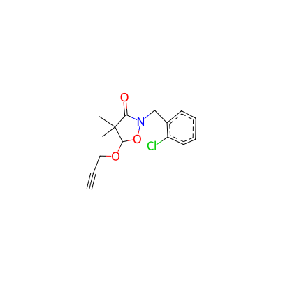 C#CCOC1ON(Cc2ccccc2Cl)C(=O)C1(C)C